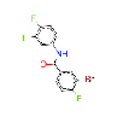 O=C(Nc1ccc(F)c(F)c1)c1ccc(F)c(Br)c1